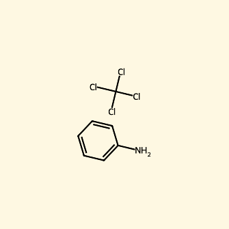 ClC(Cl)(Cl)Cl.Nc1ccccc1